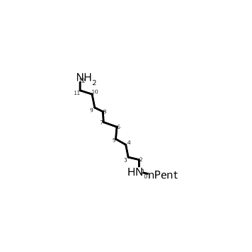 CCCCCNCCCCCCCCCCN